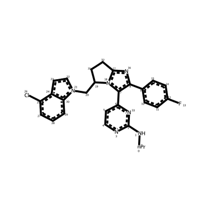 CCCNc1nccc(-c2c(-c3ccc(F)cc3)nc3n2C(Cn2ccc4c(Cl)cccc42)CC3)n1